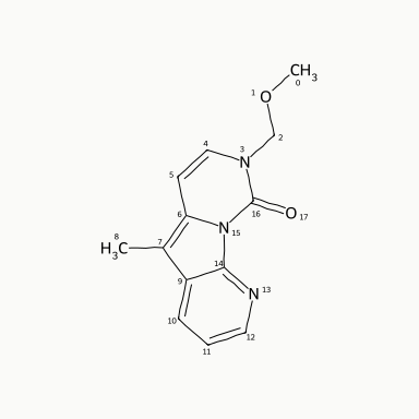 COCn1ccc2c(C)c3cccnc3n2c1=O